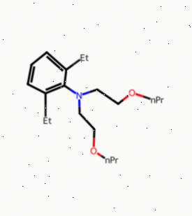 CCCOCCN(CCOCCC)c1c(CC)cccc1CC